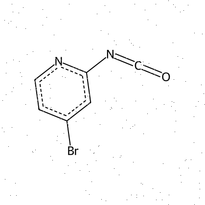 O=C=Nc1cc(Br)ccn1